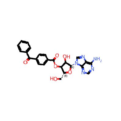 Nc1ncnc2c1ncn2[C@@H]1O[C@H](CO)C(OC(=O)c2ccc(C(=O)c3ccccc3)cc2)C1O